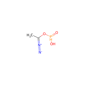 CC(=[N+]=[N-])O[PH](=O)O